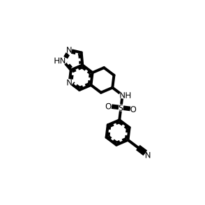 N#Cc1cccc(S(=O)(=O)NC2CCc3c(cnc4[nH]ncc34)C2)c1